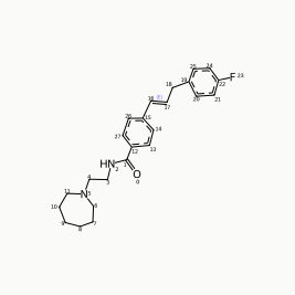 O=C(NCCN1CCCCCC1)c1ccc(/C=C/Cc2ccc(F)cc2)cc1